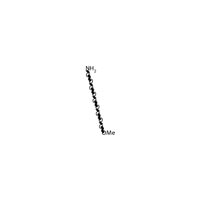 COCCOCCOCCOCCOCCOCCOCCOCCOCCOCCN